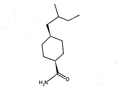 CCC(C)C[C@H]1CC[C@@H](C(N)=O)CC1